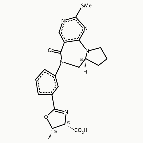 CSc1ncc2c(n1)N1CCC[C@H]1CN(c1cccc(C3=N[C@H](C(=O)O)[C@H](C)O3)c1)C2=O